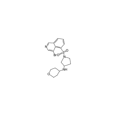 O=S(=O)(c1cccc2cncc(Br)c12)N1CCC(NC2CCOCC2)C1